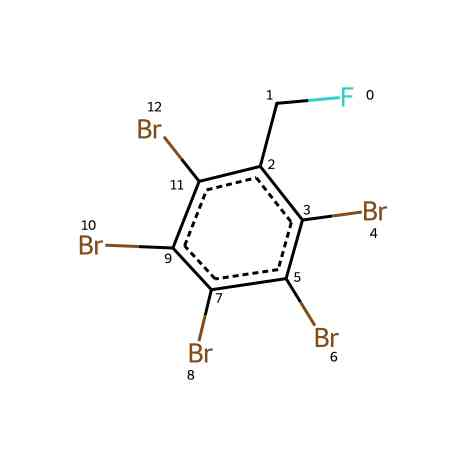 FCc1c(Br)c(Br)c(Br)c(Br)c1Br